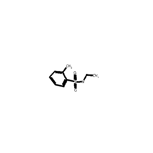 CC[N]S(=O)(=O)c1ccccc1C